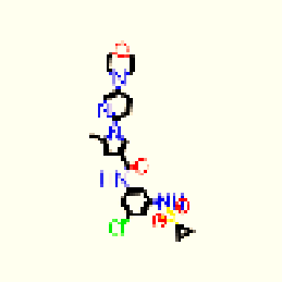 Cc1cc(C(=O)Nc2cc(Cl)cc(NS(=O)(=O)C3CC3)c2)cn1-c1ccc(N2CCOCC2)cn1